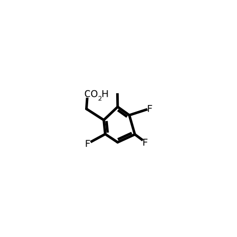 Cc1c(F)c(F)cc(F)c1CC(=O)O